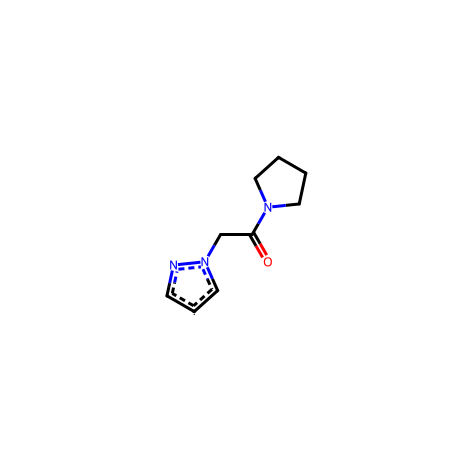 O=C(Cn1c[c]cn1)N1CCCC1